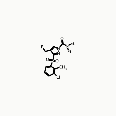 CCN(CC)C(=O)n1cc(CF)c(S(=O)(=O)c2cccc(Cl)c2C)n1